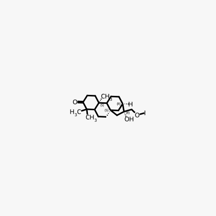 CC1(C)C(=O)CC[C@]2(C)C1CC[C@@]13C[C@@H](CCC12)[C@@](O)(COI)C3